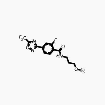 CCOCCCNC(=O)c1ccc(-c2noc(C(F)(F)F)n2)cc1F